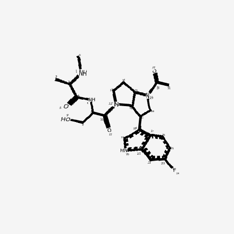 CNC(C)C(=O)NC(CO)C(=O)N1CCC2C1C(c1c[nH]c3cc(F)ccc13)CN2C(C)=O